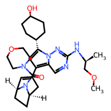 COC[C@H](C)Nc1ncc2c(C3=C[C@@H]4CC[C@H](C3)N4C(=O)N3CCOCC3)cc([C@H]3CC[C@H](O)CC3)n2n1